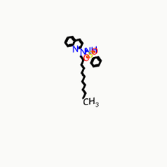 CCCCCCCCCCCCN(NS(=O)(=O)c1ccccc1)c1ccc2ccccc2n1